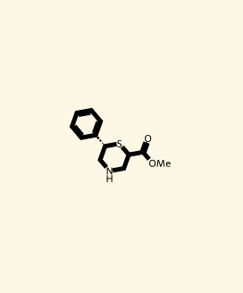 COC(=O)C1CNC[C@H](c2ccccc2)S1